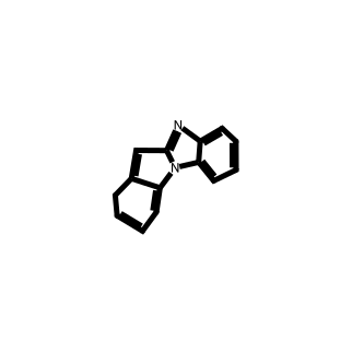 C1=CCc2cc3nc4ccccc4n3c2=C1